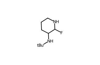 CC(C)(C)NC1CCCNC1F